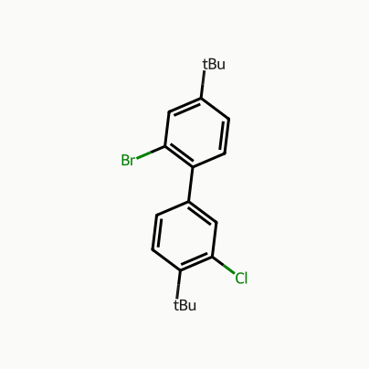 CC(C)(C)c1ccc(-c2ccc(C(C)(C)C)c(Cl)c2)c(Br)c1